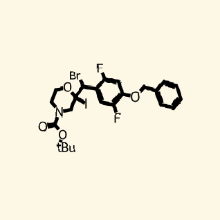 CC(C)(C)OC(=O)N1CCOC(I)(C(Br)c2cc(F)c(OCc3ccccc3)cc2F)C1